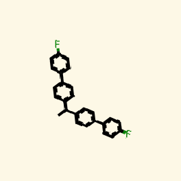 CC(c1ccc(-c2ccc(F)cc2)cc1)c1ccc(-c2ccc(F)cc2)cc1